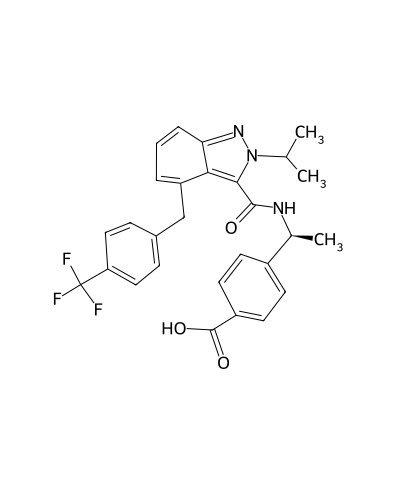 CC(C)n1nc2cccc(Cc3ccc(C(F)(F)F)cc3)c2c1C(=O)N[C@@H](C)c1ccc(C(=O)O)cc1